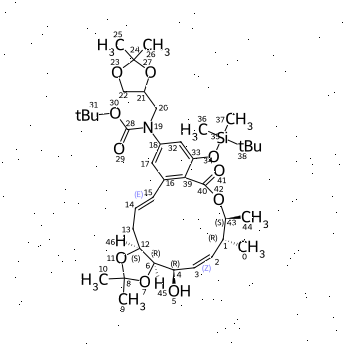 C[C@@H]1/C=C\[C@@H](O)[C@H]2OC(C)(C)O[C@H]2C/C=C/c2cc(N(CC3COC(C)(C)O3)C(=O)OC(C)(C)C)cc(O[Si](C)(C)C(C)(C)C)c2C(=O)O[C@H]1C